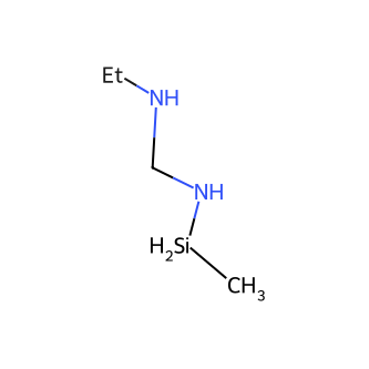 CCNCN[SiH2]C